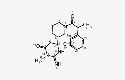 CC(C(=O)N1CCCC([C@]2(C)CC(=O)N(C)C(=N)N2)C1)c1ccccc1